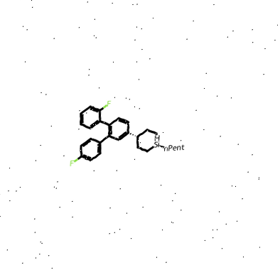 CCCCC[Si@H]1CC[C@H](c2ccc(-c3ccccc3F)c(-c3ccc(F)cc3)c2)CC1